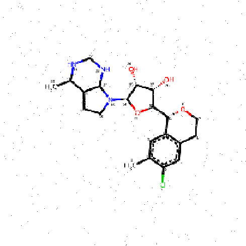 Cc1cc2c(cc1Cl)CCO[C@H]2[C@H]1O[C@@H](N2CCC3C(C)NCNC32)[C@H](O)[C@@H]1O